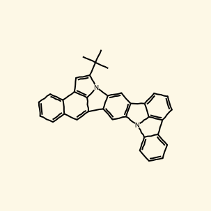 CC(C)(C)c1cc2c3ccccc3cc3c4cc5c(cc4n1c23)c1cccc2c3ccccc3n5c21